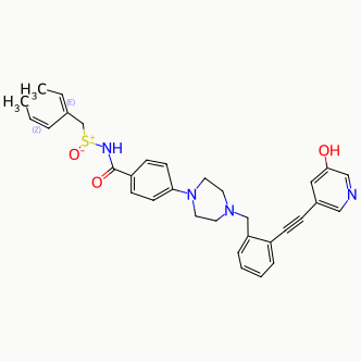 C/C=C\C(=C/C)C[S+]([O-])NC(=O)c1ccc(N2CCN(Cc3ccccc3C#Cc3cncc(O)c3)CC2)cc1